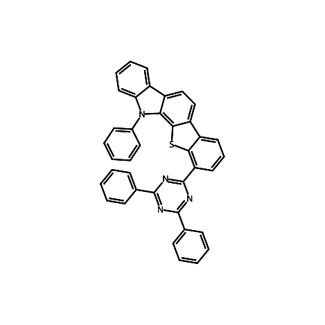 c1ccc(-c2nc(-c3ccccc3)nc(-c3cccc4c3sc3c4ccc4c5ccccc5n(-c5ccccc5)c43)n2)cc1